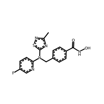 Cc1nsc(N(Cc2ccc(C(=O)NO)cc2)c2ccc(F)cn2)n1